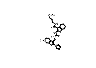 CCN1CCc2c(sc(-n3cccc3)c2CNC(=O)Nc2sc3c(c2C(=O)NCCCOC)CCCC3)C1